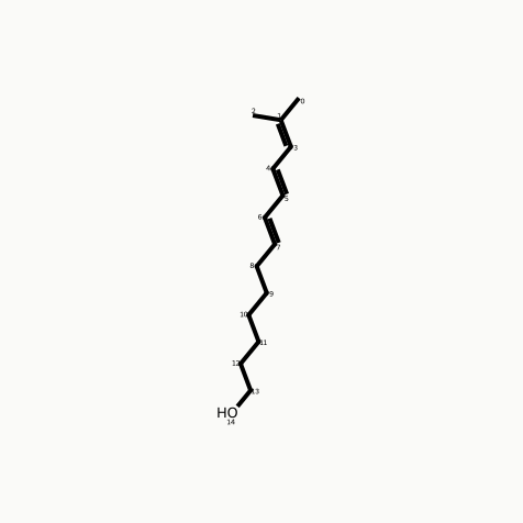 CC(C)=CC=CC=CCCCCCCO